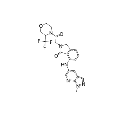 Cn1ncc2cc(Nc3cccc4c3C(=O)N(CC(=O)N3CCOCC3C(F)(F)F)C4)cnc21